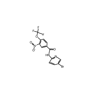 O=C(Nc1ccc(Br)cn1)c1ccc(OC(F)(F)F)c([N+](=O)[O-])c1